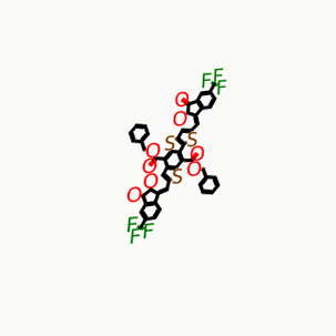 O=C1C(=O)c2cc(C(F)(F)F)ccc2/C1=C/c1cc2c(C(=O)OCc3ccccc3)c3sc4cc(/C=C5\C(=O)C(=O)c6cc(C(F)(F)F)ccc65)sc4c3c(C(=O)OCc3ccccc3)c2s1